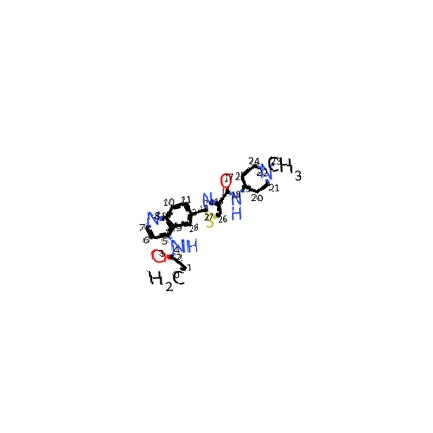 C=CC(=O)Nc1ccnc2ccc(-c3nc(C(=O)NC4CCN(C)CC4)cs3)cc12